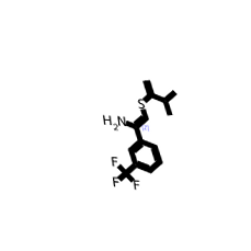 C=C(S/C=C(\N)c1cccc(C(F)(F)F)c1)C(C)C